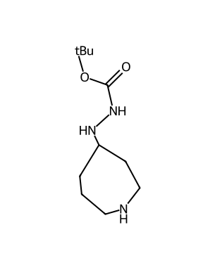 CC(C)(C)OC(=O)NNC1CCCNCC1